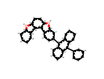 c1ccc(-c2c3ccccc3c(-c3ccc4c(c3)oc3ccc5oc6ccccc6c5c34)c3ccccc23)cc1